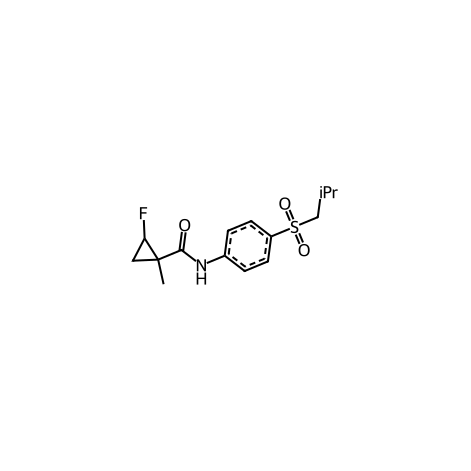 CC(C)CS(=O)(=O)c1ccc(NC(=O)C2(C)CC2F)cc1